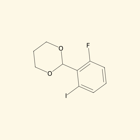 Fc1cccc(I)c1C1OCCCO1